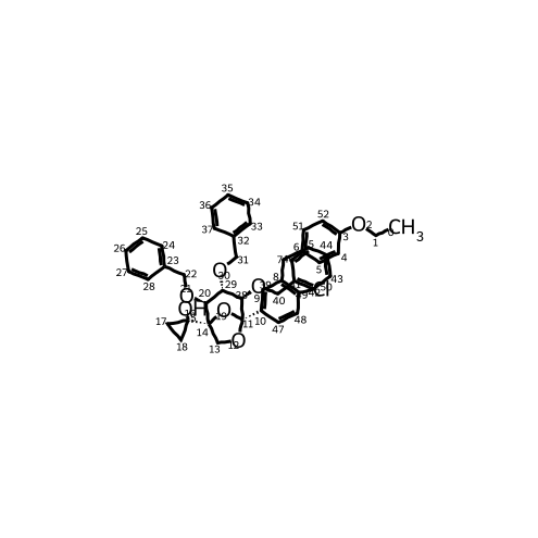 CCOc1ccc(Cc2cc([C@]34OC[C@](C5(O)CC5)(O3)[C@@H](OCc3ccccc3)[C@H](OCc3ccccc3)[C@H]4OCc3ccccc3)ccc2Cl)cc1